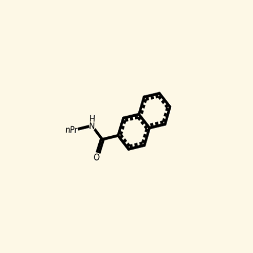 CCCNC(=O)c1ccc2ccccc2c1